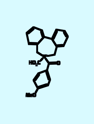 COc1ccc(C(=O)[N+]2(C(=O)O)Cc3ccccc3-c3ccccc3C2)cc1